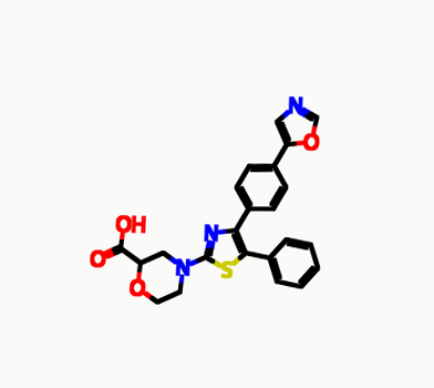 O=C(O)C1CN(c2nc(-c3ccc(-c4cnco4)cc3)c(-c3ccccc3)s2)CCO1